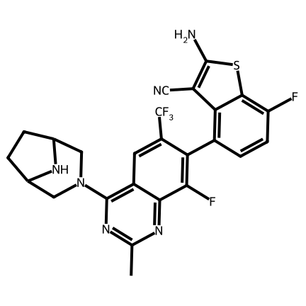 Cc1nc(N2CC3CCC(C2)N3)c2cc(C(F)(F)F)c(-c3ccc(F)c4sc(N)c(C#N)c34)c(F)c2n1